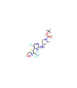 CC1CC(Nc2ncc(F)c(-c3sc(CO)nc3C(F)(F)F)n2)CCN1C(=O)OC(C)(C)C